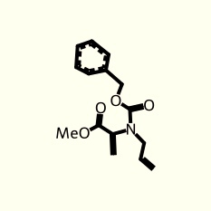 C=CCN(C(=C)C(=O)OC)C(=O)OCc1ccccc1